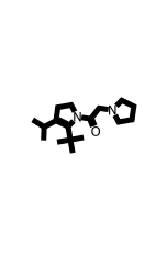 CC(C)C1=C(C(C)(C)C)N(C(=O)CN2CCCC2)CC1